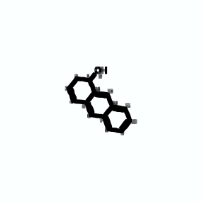 OC1CC=Cc2cc3ccccc3cc21